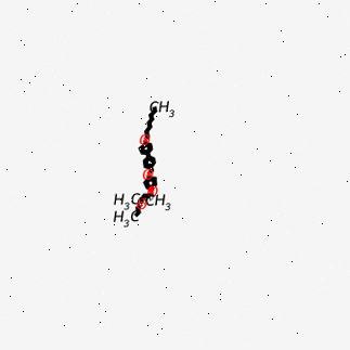 CCCCCCCCOc1ccc(-c2ccc(COc3ccc(O[C@H](C)C[C@H](C)OCCC)cc3)cc2)cc1